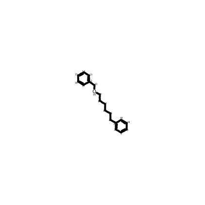 [c]1ccc(CCCCCCOCc2ccccc2)cc1